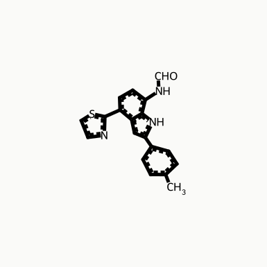 Cc1ccc(-c2cc3c(-c4nccs4)ccc(NC=O)c3[nH]2)cc1